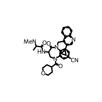 CNC(C)C(=O)NC1CN(C(=O)C2CCOCC2)c2cc(C#N)ccc2N(Cc2c(C3CC3)cnc3ccccc23)C1=O